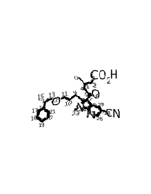 C[C@@H](CC(=O)O)CC(=O)c1c(CCCOC[C@@H](C)c2ccccc2)n(C)c2ncc(C#N)cc12